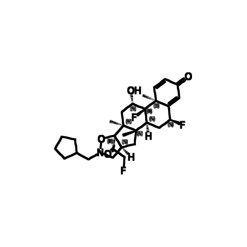 C[C@]12C[C@H](O)[C@@]3(F)[C@@H](C[C@H](F)C4=CC(=O)C=C[C@@]43C)[C@]1(C)C[C@H]1CN(CC3CCCC3)O[C@]12C(=O)CF